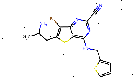 CC(N)Cc1sc2c(NCc3cccs3)nc(C#N)nc2c1Br